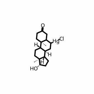 C[C@]12CC[C@H]3[C@@H](C[CH]([Hg][Cl])C4CC(=O)CC[C@@]43C)[C@@H]1CC[C@@H]2O